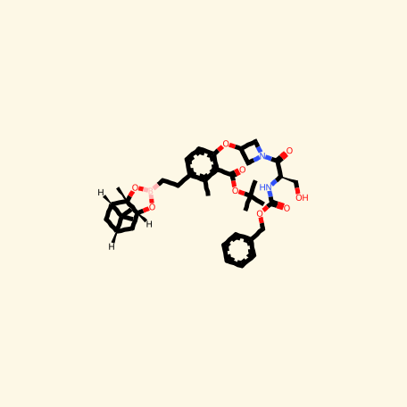 Cc1c(CCB2O[C@@H]3C[C@@H]4C[C@@H](C4(C)C)[C@]3(C)O2)ccc(OC2CN(C(=O)[C@@H](CO)NC(=O)OCc3ccccc3)C2)c1C(=O)OC(C)(C)C